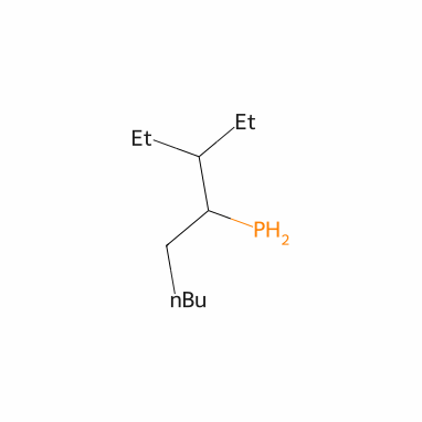 CCCCCC(P)C(CC)CC